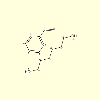 C=Cc1ccccc1.OCCCCCCO